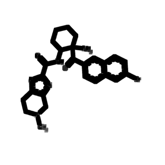 CN1CCc2nc(C(=O)NC3CCCCC3(N)C(=O)c3ccc4cc(Br)ccc4c3)sc2C1